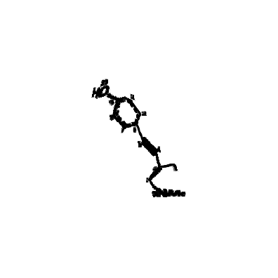 CN/C=C(\C)C#Cc1ccc(O)cc1